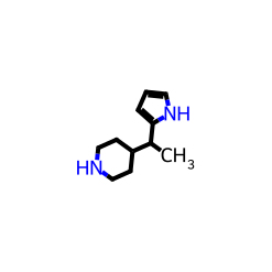 CC(c1ccc[nH]1)C1CCNCC1